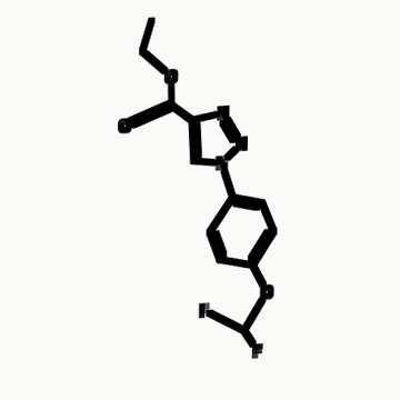 CCOC(=O)c1cn(-c2ccc(OC(F)F)cc2)nn1